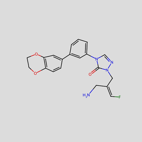 NC/C(=C/F)Cn1ncn(-c2cccc(-c3ccc4c(c3)OCCO4)c2)c1=O